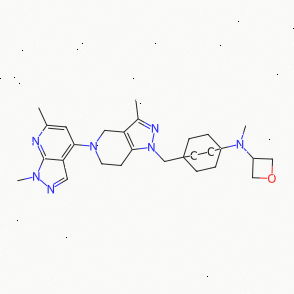 Cc1cc(N2CCc3c(c(C)nn3CC34CCC(N(C)C5COC5)(CC3)CC4)C2)c2cnn(C)c2n1